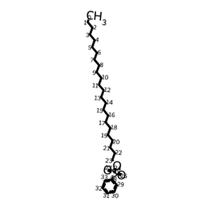 CCCCCCCCCCCCCCCCCCCCCCCCOS(=O)(=O)c1ccccc1